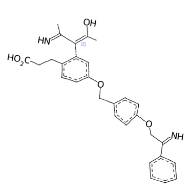 CC(=N)/C(=C(/C)O)c1cc(OCc2ccc(OCC(=N)c3ccccc3)cc2)ccc1CCC(=O)O